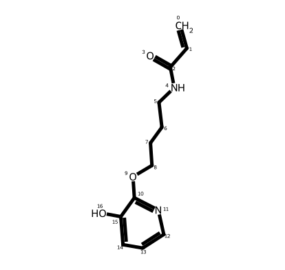 C=CC(=O)NCCCCOc1ncccc1O